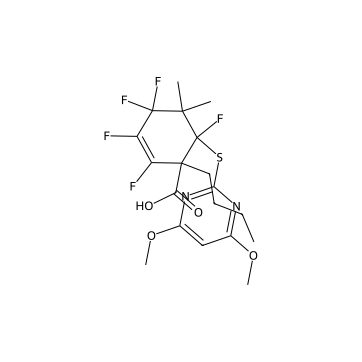 CCCCC1(C(=O)O)C(F)=C(F)C(F)(F)C(C)(C)C1(F)Sc1nc(OC)cc(OC)n1